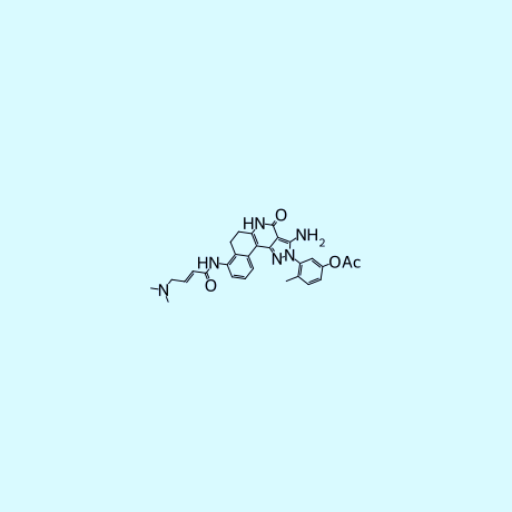 CC(=O)Oc1ccc(C)c(-n2nc3c4c([nH]c(=O)c3c2N)CCc2c(NC(=O)/C=C/CN(C)C)cccc2-4)c1